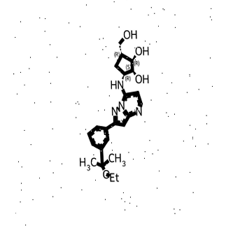 CCOC(C)(C)c1cccc(-c2cc3nccc(N[C@@H]4C[C@H](CO)[C@@H](O)[C@H]4O)n3n2)c1